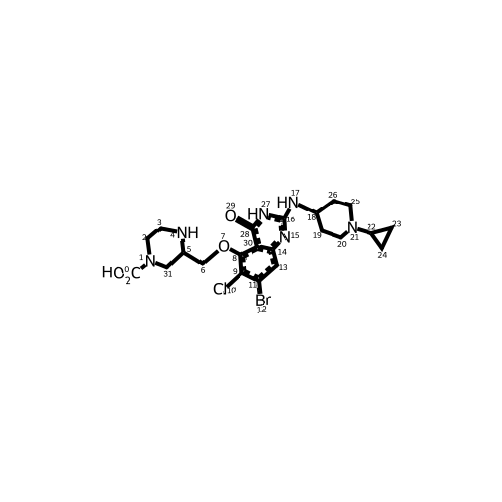 O=C(O)N1CCNC(COc2c(Cl)c(Br)cc3nc(NC4CCN(C5CC5)CC4)[nH]c(=O)c23)C1